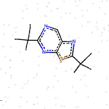 CC(C)(C)c1ncc2nc(C(C)(C)C)sc2n1